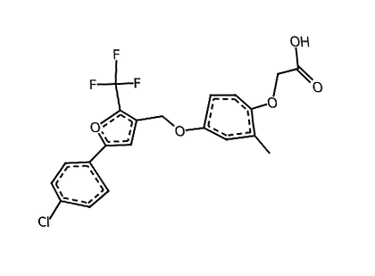 Cc1cc(OCc2cc(-c3ccc(Cl)cc3)oc2C(F)(F)F)ccc1OCC(=O)O